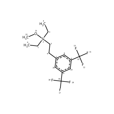 CC[Si](CC)(CCc1cc(C(F)(F)F)cc(C(F)(F)F)c1)OC